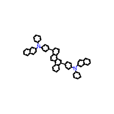 c1ccc(N(c2ccc(-c3cc4c5cccc(-c6ccc(N(c7ccccc7)c7ccc8ccccc8c7)cc6)c5ccc4c4ccccc34)cc2)c2ccc3ccccc3c2)cc1